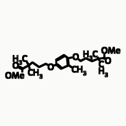 COC(=O)C(C)(C)CCCOc1ccc(OCCCC(C)(C)C(=O)OC)c(C)c1